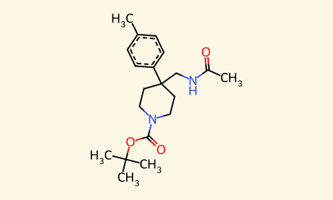 CC(=O)NCC1(c2ccc(C)cc2)CCN(C(=O)OC(C)(C)C)CC1